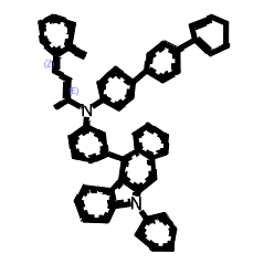 C=c1cccc/c1=C/C=C(\C)N(c1ccc(-c2ccc(C3=CCCC=C3)cc2)cc1)c1cccc(-c2c3ccccc3cc3c2c2ccccc2n3-c2ccccc2)c1